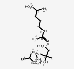 CC(C)(O)CC(=O)O.CC(N)=O.CCC(O)C(=O)O.N=C(N)NCCCC(N)C(=O)O